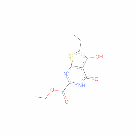 CCOC(=O)c1nc2sc(CC)c(O)c2c(=O)[nH]1